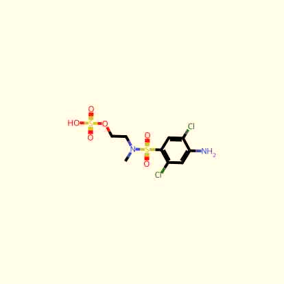 CN(CCOS(=O)(=O)O)S(=O)(=O)c1cc(Cl)c(N)cc1Cl